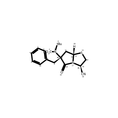 CC(C)(C)N(C(=O)O)[C@]1(Cc2ccccc2)C[C@@H]2SC[C@@H](C#N)N2C1=O